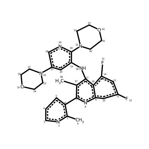 Cc1ncccc1-c1nc2cc(F)cc(F)c2c(Nc2cc(N3CCOCC3)cnc2N2CCOCC2)c1C